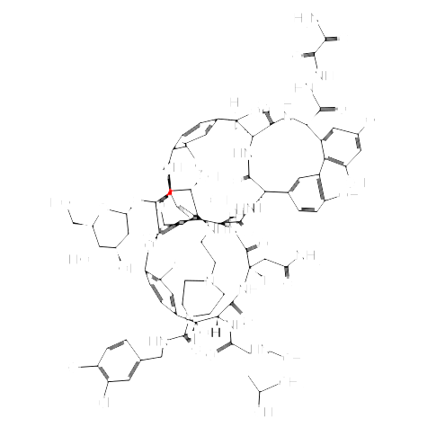 CN[C@H](CC(C)C)C(=O)N[C@H]1C(=O)N[C@@H](CC(N)=O)C(=O)N[C@H]2C(=O)N[C@H]3C(=O)N[C@H](C(=O)N[C@@H](C(=O)NNC(=O)C(N)=O)c4cc(O)cc(O)c4-c4cc3ccc4O)[C@H](O)c3ccc(c(Cl)c3)Oc3cc2cc(c3O[C@@H]2O[C@H](CO)[C@@H](O)[C@H](O)[C@H]2O[C@H]2C[C@](C)(NCCN3CCN(C(=O)NCc4ccc(Cl)c(Cl)c4)CC3)[C@H](O)[C@H](C)O2)Oc2ccc(cc2Cl)[C@H]1O